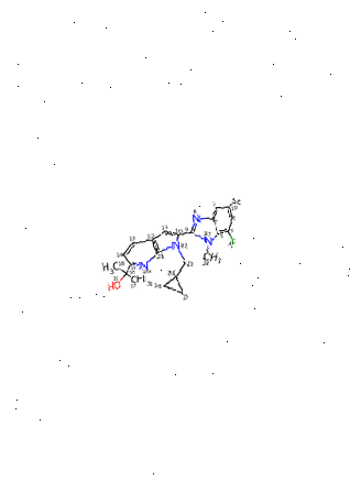 CC(=O)c1cc(F)c2c(c1)nc(-c1cc3ccc(C(C)(C)O)nc3n1CC1CC1)n2C